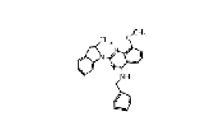 COc1cccc2c(NCc3ccccc3)nc(N3c4ccccc4CC3C)nc12